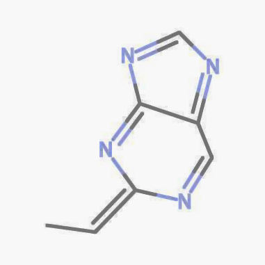 CC=c1ncc2c(n1)N=CN=2